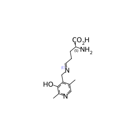 Cc1cnc(C)c(O)c1C/N=C/CC[C@H](N)C(=O)O